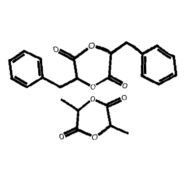 CC1OC(=O)C(C)OC1=O.O=C1OC(Cc2ccccc2)C(=O)OC1Cc1ccccc1